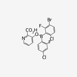 O=C(O)c1ncccc1OB(c1ccc(Cl)cc1F)c1c(Cl)ccc(Br)c1F